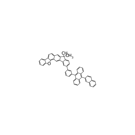 CC1(C)c2ccc(-c3cccc(-c4c5ccccc5c(-c5ccc6ccccc6c5)c5ccccc45)c3)cc2-c2cc3c(ccc4c5ccccc5oc34)cc21